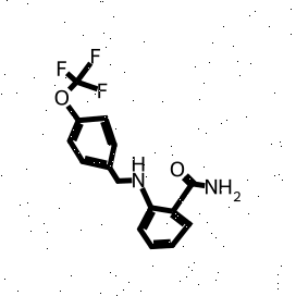 NC(=O)c1ccccc1NCc1ccc(OC(F)(F)F)cc1